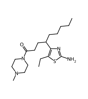 CCCCCC(CCC(=O)N1CCN(C)CC1)c1nc(N)sc1CC